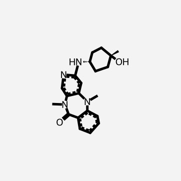 CN1C(=O)c2ccccc2N(C)c2cc(N[C@H]3CC[C@@](C)(O)CC3)ncc21